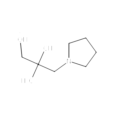 CC(C)(CO)CN1CCCC1